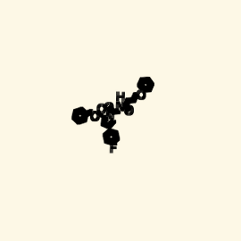 O=C(CCCOc1ccccc1)NCC(=O)N1C[C@H](c2ccc(F)cc2)C[C@H]1C(=O)OCc1ccccc1